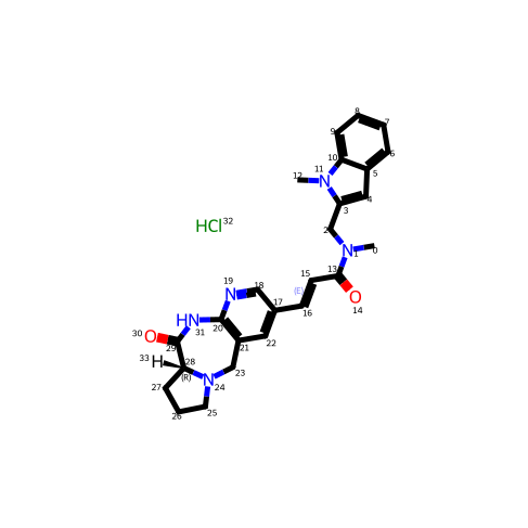 CN(Cc1cc2ccccc2n1C)C(=O)/C=C/c1cnc2c(c1)CN1CCC[C@@H]1C(=O)N2.Cl